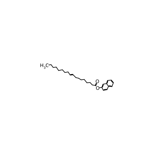 CCCCCCCCC=CCCCCCCCC(=O)Oc1ccc2ccccc2c1